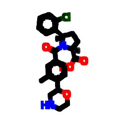 Cc1cc(C(=O)N2[C@@H](c3ccccc3Cl)CC[C@H]2C(=O)O)ccc1C1CNCCO1